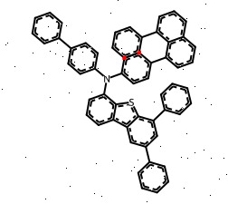 c1ccc(-c2ccc(N(c3ccc(-c4cccc5cccc(-c6ccccc6)c45)cc3)c3cccc4c3sc3c(-c5ccccc5)cc(-c5ccccc5)cc34)cc2)cc1